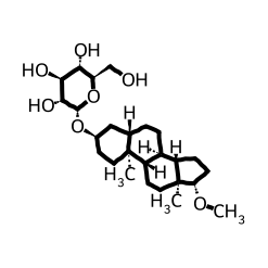 CO[C@H]1CC[C@H]2[C@@H]3CC[C@H]4C[C@H](O[C@H]5O[C@H](CO)[C@@H](O)[C@H](O)[C@H]5O)CC[C@]4(C)[C@H]3CC[C@]12C